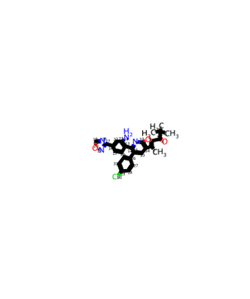 Cc1c(C(=O)C(C)(C)C)oc2nc(-c3ccc(-c4ncon4)cc3N)c(-c3ccc(Cl)cc3)cc12